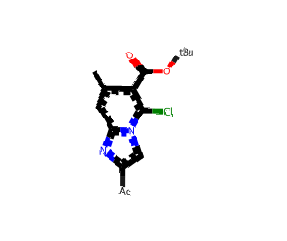 CC(=O)c1cn2c(Cl)c(C(=O)OC(C)(C)C)c(C)cc2n1